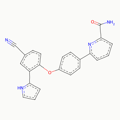 N#Cc1ccc(Oc2ccc(-c3cccc(C(N)=O)n3)cc2)c(-c2ccc[nH]2)c1